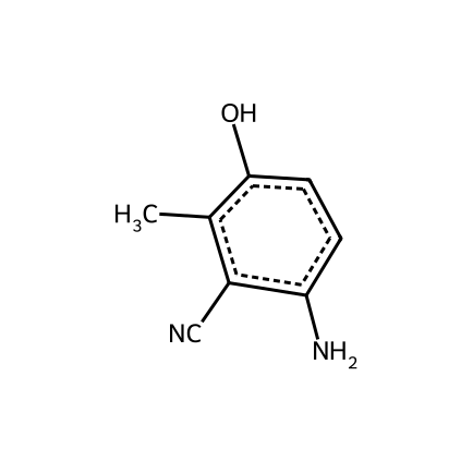 Cc1c(O)ccc(N)c1C#N